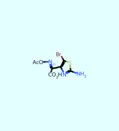 CC(=O)O/N=C(\C(=O)O)c1nc(N)sc1Br